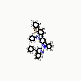 c1ccc(-c2cc(-n3c4ccccc4c4cc5c6ccc7c8ccccc8sc7c6n(-c6ccccc6)c5cc43)nc3ccccc23)cc1